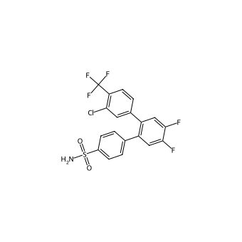 NS(=O)(=O)c1ccc(-c2cc(F)c(F)cc2-c2ccc(C(F)(F)F)c(Cl)c2)cc1